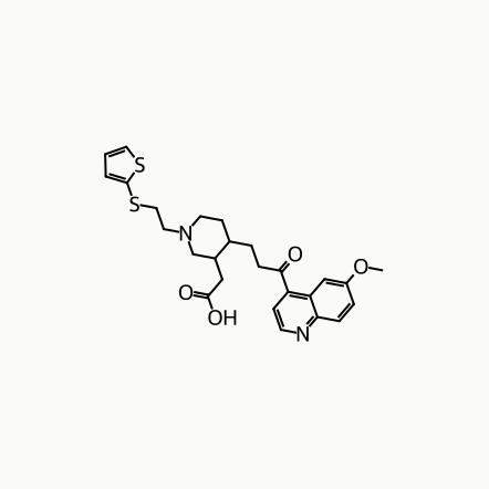 COc1ccc2nccc(C(=O)CCC3CCN(CCSc4cccs4)CC3CC(=O)O)c2c1